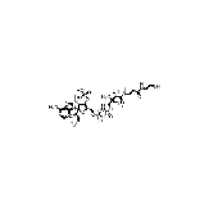 C=CC(=O)[C@@]1(n2cnc3c(N)ncnc32)O[C@H](COP(=O)(O)OP(=O)(O)OCC(C)(C)[C@@H](O)C(=O)NCCC(=O)NCCS)[C@@H](OP(=O)(O)O)[C@H]1O